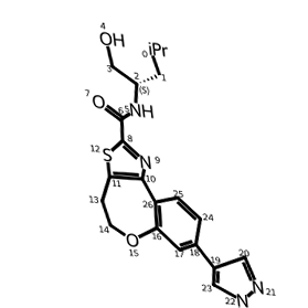 CC(C)C[C@@H](CO)NC(=O)c1nc2c(s1)CCOc1cc(-c3cn[nH]c3)ccc1-2